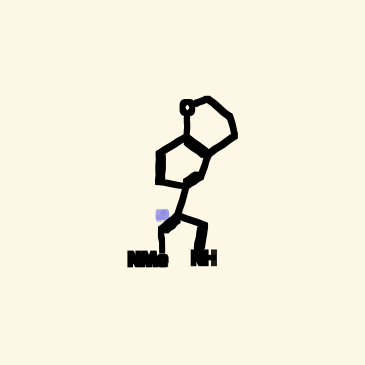 CN/C=C(\C=N)c1ccc2c(c1)CCCO2